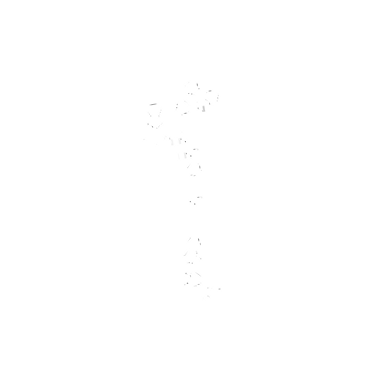 CCc1c2c(nc3ccc(OCCCNC(=O)OCc4ccc(NC(=O)[C@H](CCCCNC(c5ccccc5)(c5ccccc5)c5ccc(C)cc5)NC(=O)[C@H](Cc5c[nH]c6ccccc56)NC(=O)O)cc4)cc13)-c1cc3c(c(=O)n1C2)COC(=O)[C@]3(O)CC